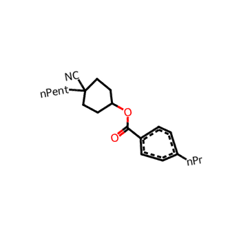 CCCCCC1(C#N)CCC(OC(=O)c2ccc(CCC)cc2)CC1